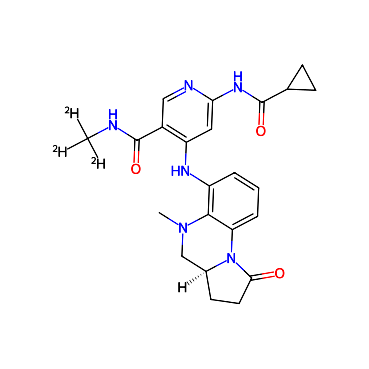 [2H]C([2H])([2H])NC(=O)c1cnc(NC(=O)C2CC2)cc1Nc1cccc2c1N(C)C[C@@H]1CCC(=O)N21